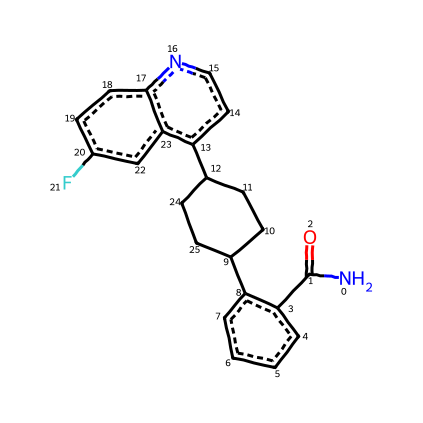 NC(=O)c1ccccc1C1CCC(c2ccnc3ccc(F)cc23)CC1